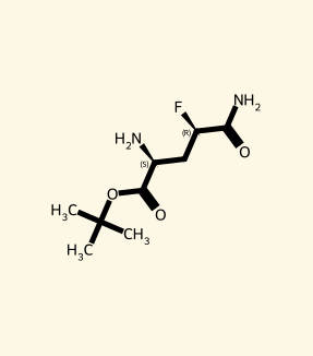 CC(C)(C)OC(=O)[C@@H](N)C[C@@H](F)C(N)=O